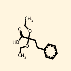 CCOC(CCc1ccccc1)(OCC)C(=O)O